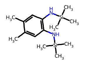 Cc1cc(N[Si](C)(C)C)c(N[Si](C)(C)C)cc1C